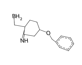 BCC1CCC(OCc2ccccc2)CC1=N